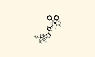 CC(C)(C)[Si](C)(C)OC1CC=C(c2cnc(CO[Si](c3ccccc3)(c3ccccc3)C(C)(C)C)s2)C1